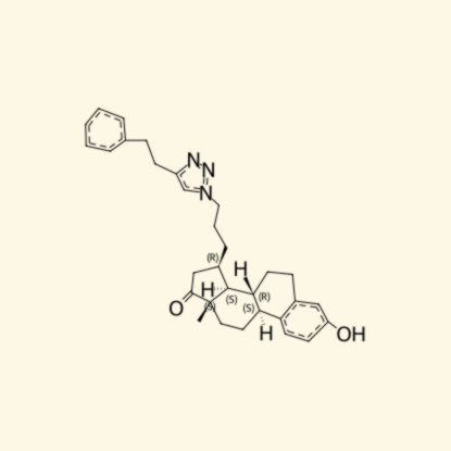 C[C@]12CC[C@@H]3c4ccc(O)cc4CC[C@H]3[C@@H]1[C@H](CCCn1cc(CCc3ccccc3)nn1)CC2=O